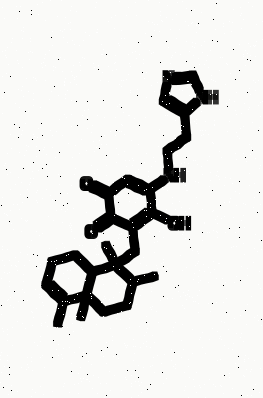 CC1=CCCC2C1(C)CCC(C)C2(C)CC1=C(O)C(NCCc2cnc[nH]2)=CC(=O)C1=O